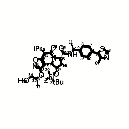 Cc1ncsc1-c1ccc([C@H](C)NC(=O)[C@@H]2C[C@@H](O[Si](C)(C)C(C)(C)C)CN2C(=O)[C@@H](c2cc(O[C@@H](C)CO)no2)C(C)C)cc1